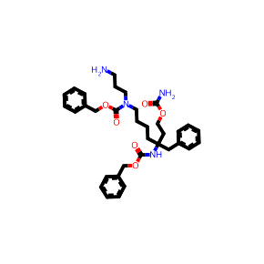 NCCCN(CCCCC(CCOC(N)=O)(Cc1ccccc1)NC(=O)OCc1ccccc1)C(=O)OCc1ccccc1